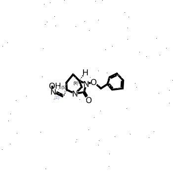 O=C1N2C[C@@H](CC[C@H]2/C=N\O)N1OCc1ccccc1